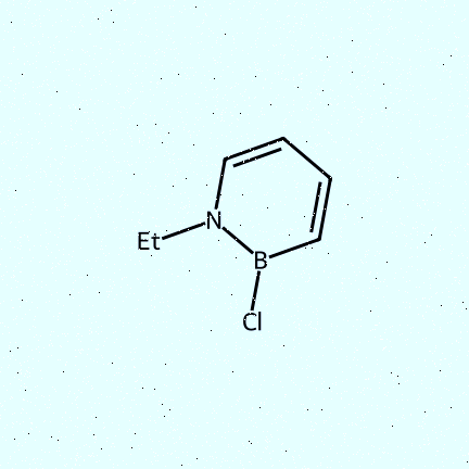 CCN1C=CC=CB1Cl